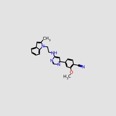 COc1cc(-c2cc(NCCn3c(C)cc4ccccc43)ncn2)ccc1C#N